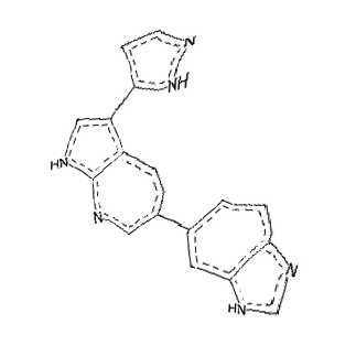 c1cc(-c2c[nH]c3ncc(-c4ccc5nc[nH]c5c4)cc23)[nH]n1